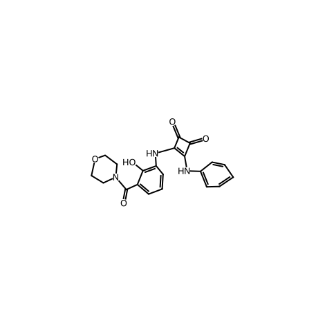 O=C(c1cccc(Nc2c(Nc3ccccc3)c(=O)c2=O)c1O)N1CCOCC1